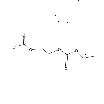 CCOC(=O)OCCOC(=O)O